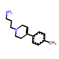 Cc1ccc(C2=CCN(CCCN)CC2)cc1